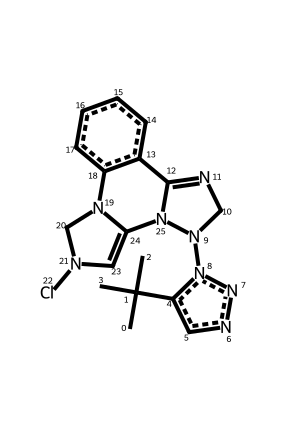 CC(C)(C)c1cnnn1N1CN=C2c3ccccc3N3CN(Cl)C=C3N21